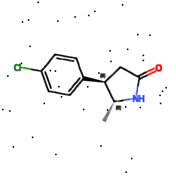 C[C@H]1NC(=O)C[C@@H]1c1ccc(Cl)cc1